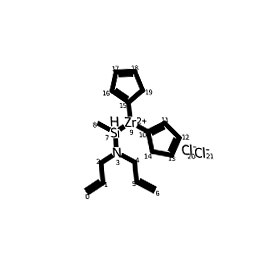 C=CCN(CC=C)[SiH](C)[Zr+2]([C]1=CC=CC1)[C]1=CC=CC1.[Cl-].[Cl-]